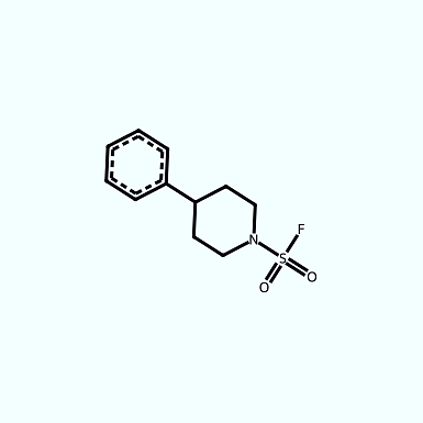 O=S(=O)(F)N1CCC(c2ccccc2)CC1